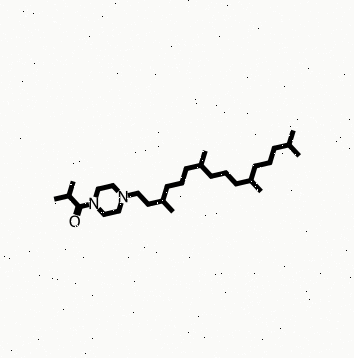 CC(C)CCCC(C)CCCC(C)CCCC(C)CCN1CCN(C(=O)C(C)C)CC1